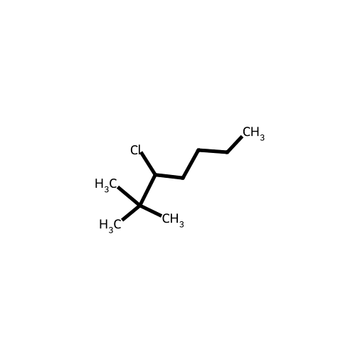 CCCCC(Cl)C(C)(C)C